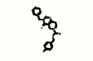 O=C(OCc1ccc(F)cc1)N1CCc2ncn(Cc3ccccc3)c(=O)c2C1